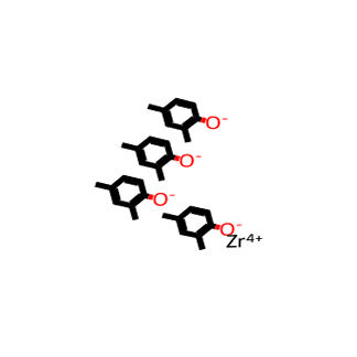 Cc1ccc([O-])c(C)c1.Cc1ccc([O-])c(C)c1.Cc1ccc([O-])c(C)c1.Cc1ccc([O-])c(C)c1.[Zr+4]